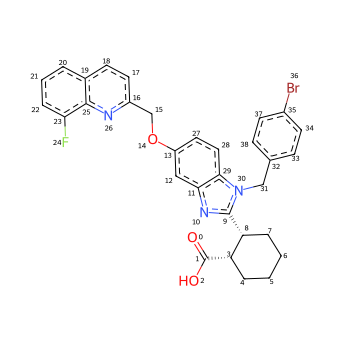 O=C(O)[C@H]1CCCC[C@H]1c1nc2cc(OCc3ccc4cccc(F)c4n3)ccc2n1Cc1ccc(Br)cc1